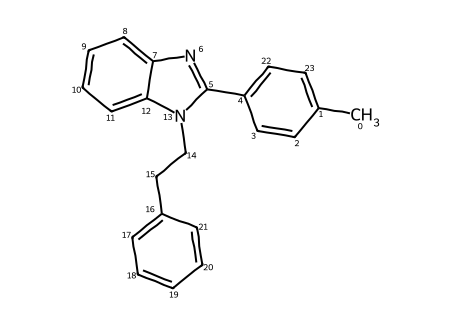 Cc1ccc(-c2nc3ccccc3n2CCc2ccccc2)cc1